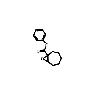 O=C(Oc1ccccc1)C12CCCCCC1O2